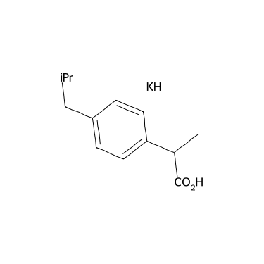 CC(C)Cc1ccc(C(C)C(=O)O)cc1.[KH]